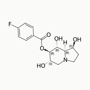 O=C(O[C@H]1[C@H](O)[C@H]2[C@@H](O)CCN2C[C@@H]1O)c1ccc(F)cc1